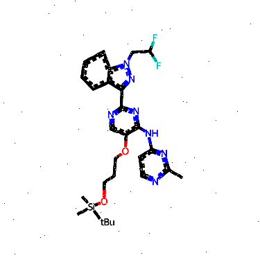 Cc1nccc(Nc2nc(-c3nn(CC(F)F)c4ccccc34)ncc2OCCCO[Si](C)(C)C(C)(C)C)n1